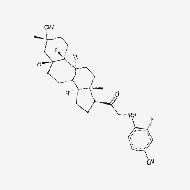 C[C@@]1(O)CC[C@@]2(F)[C@H](CCC3[C@@H]4CC[C@H](C(=O)CNc5ccc(C#N)cc5F)[C@@]4(C)CC[C@@H]32)C1